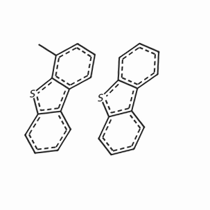 Cc1cccc2c1sc1ccccc12.c1ccc2c(c1)sc1ccccc12